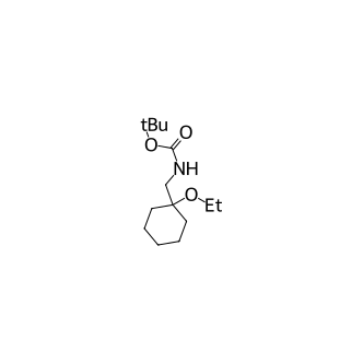 CCOC1(CNC(=O)OC(C)(C)C)CCCCC1